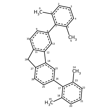 Cc1cccc(C)c1-c1ccc2c(c1)-c1cc(-c3c(C)cccc3C)ccc1C2